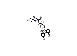 CC[C@H](/C=C/S(=O)(=O)C1CNC1)NC(=O)C1(F)CCN(S(=O)(=O)c2ccc(Br)cc2-c2ccccc2Cl)CC1